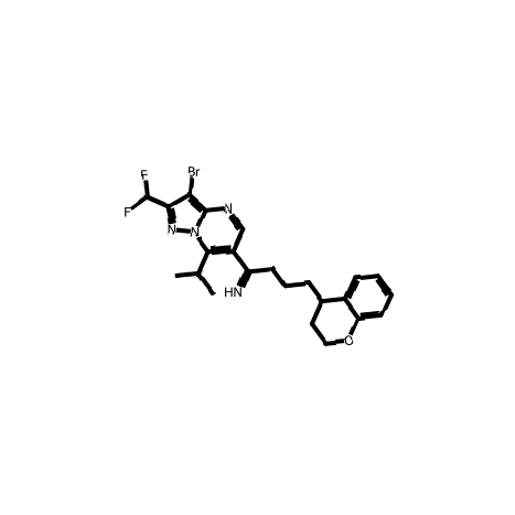 CC(C)c1c(C(=N)CCCC2CCOc3ccccc32)cnc2c(Br)c(C(F)F)nn12